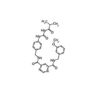 COc1cccc(CNC(=O)c2cc(C(=O)NCc3ccc(NC(=O)NC(=O)C(C)C)cc3)ncn2)c1